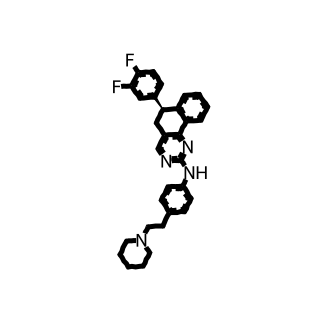 Fc1ccc([C@@H]2Cc3cnc(Nc4ccc(CCN5CCCCC5)cc4)nc3-c3ccccc32)cc1F